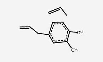 C=CC.C=CCc1ccc(O)c(O)c1